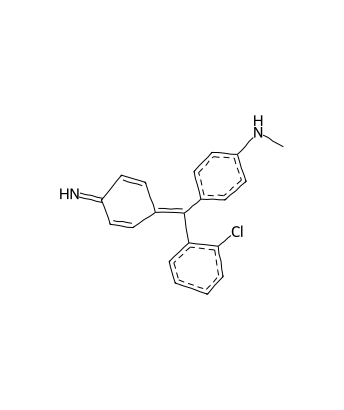 CNc1ccc(C(=C2C=CC(=N)C=C2)c2ccccc2Cl)cc1